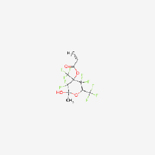 C=CC(=O)OC1(C(F)(F)F)C(F)(F)C(C(F)(F)F)OC(C)(O)C1(F)F